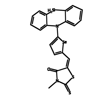 CN1C(=O)/C(=C\c2ccc(N3c4ccccc4[SiH2]c4ccccc43)[se]2)SC1=S